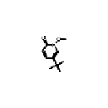 COn1cc(C(C)(C)C)ccc1=O